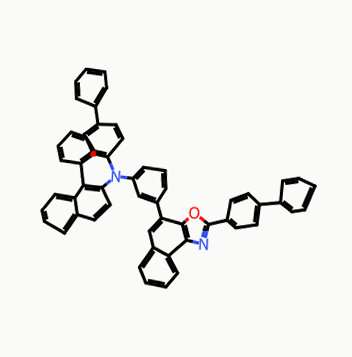 c1ccc(-c2ccc(-c3nc4c(o3)c(-c3cccc(N(c5ccc(-c6ccccc6)cc5)c5ccc6ccccc6c5-c5ccccc5)c3)cc3ccccc34)cc2)cc1